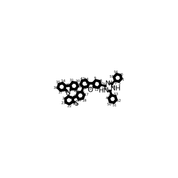 c1ccc(C2N=C(c3ccc4c(c3)oc3c(-c5ccc6sc7cccc(-n8c9ccccc9c9ccccc98)c7c6c5)cccc34)NC(c3ccccc3)N2)cc1